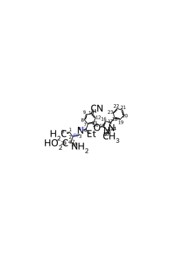 C=C/C(=C\N=C(/CC)c1ccc(C#N)cc1Oc1cc(-c2ccccc2)nn1C)C(N)C(=O)O